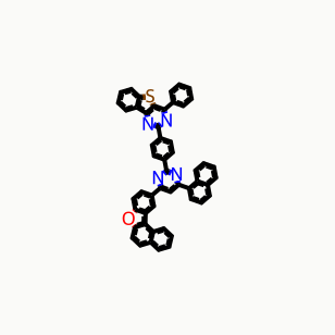 c1ccc(-c2nc(-c3ccc(-c4nc(-c5ccc6oc7ccc8ccccc8c7c6c5)cc(-c5cccc6ccccc56)n4)cc3)nc3c2sc2ccccc23)cc1